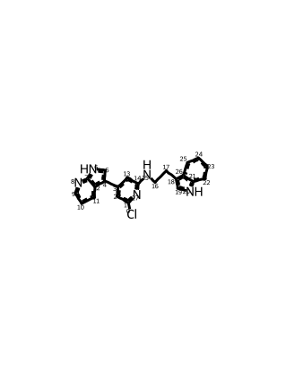 Clc1cc(-c2c[nH]c3ncccc23)cc(NCCc2c[nH]c3ccccc23)n1